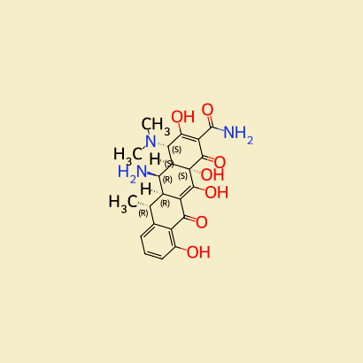 C[C@H]1c2cccc(O)c2C(=O)C2=C(O)[C@]3(O)C(=O)C(C(N)=O)=C(O)[C@@H](N(C)C)[C@@H]3[C@H](N)[C@@H]21